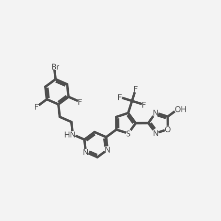 Oc1nc(-c2sc(-c3cc(NCCc4c(F)cc(Br)cc4F)ncn3)cc2C(F)(F)F)no1